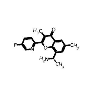 Cc1cc([C@@H](C)N)c2oc(-c3ccc(F)cn3)c(C)c(=O)c2c1